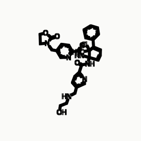 CC1(Cl)C(c2ccccc2)=CC=CC1(NC(=O)c1ccc(CNCCO)cn1)NC(=O)c1ccc(CN2CCOC2=O)cn1